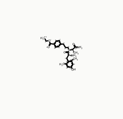 CCOC(=O)c1ccc(CCCN(C(=O)[C@@H](N)Cc2c(C)cc(O)cc2C)[C@H](C)C(N)=O)cc1